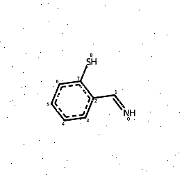 N=Cc1ccccc1S